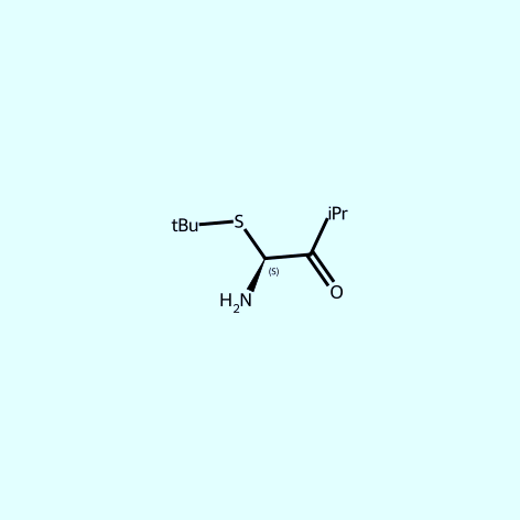 CC(C)C(=O)[C@@H](N)SC(C)(C)C